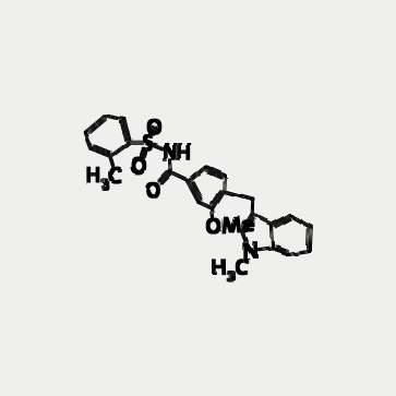 COc1cc(C(=O)NS(=O)(=O)c2ccccc2C)ccc1Cc1cn(C)c2ccccc12